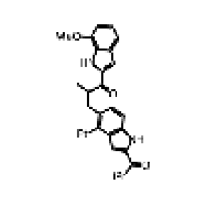 CCc1c(CC(C)C(=O)c2cc3cccc(OC)c3[nH]2)ccc2[nH]c(C(=O)C(C)C)cc12